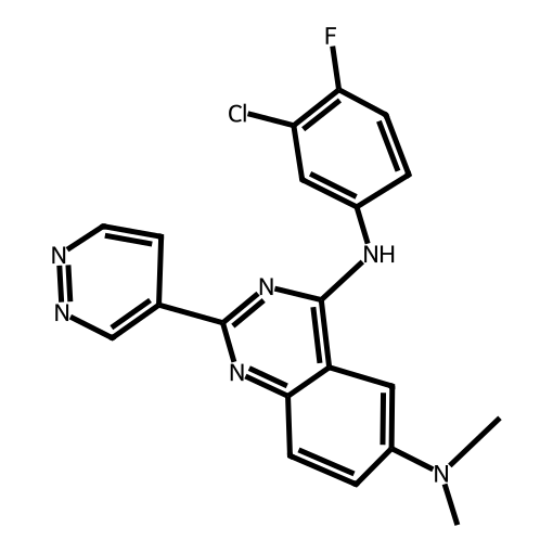 CN(C)c1ccc2nc(-c3ccnnc3)nc(Nc3ccc(F)c(Cl)c3)c2c1